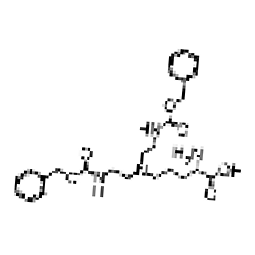 N[C@@H](CCCN(CCNC(=O)OCc1ccccc1)CCNC(=O)OCc1ccccc1)C(=O)O